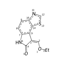 CCOC=C1C(=O)Nc2ccc3ncsc3c21